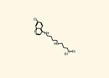 CCN(CC)CCCNCCCCNc1ccnc2cc(Cl)ccc12